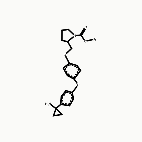 CC(C)OC(=O)N1CCCC1COc1ccc(Oc2ccc(C3(N)CC3)cc2)cc1